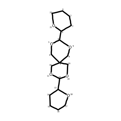 C1CCC(C2OCC3(CO2)COC(C2CCCCO2)OC3)OC1